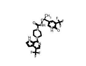 C[C@H](ONC(=O)N1CCN(c2ncc(C(F)(F)F)c3cc[nH]c23)CC1)c1c[nH]c(=O)c(C(F)(F)F)c1